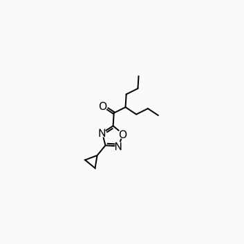 CCCC(CCC)C(=O)c1nc(C2CC2)no1